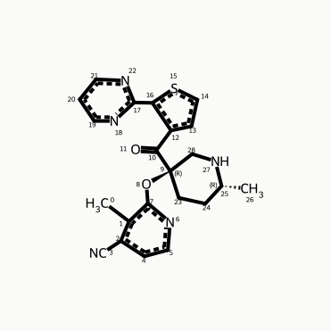 Cc1c(C#N)ccnc1O[C@]1(C(=O)c2ccsc2-c2ncccn2)CC[C@@H](C)NC1